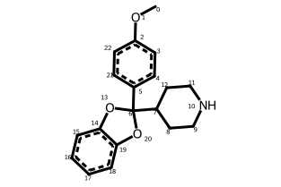 COc1ccc(C2(C3CCNCC3)Oc3ccccc3O2)cc1